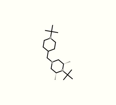 C[C@@H]1CN(CC2CCN(C(C)(C)C)CC2)C[C@H](C)N1C(C)(C)C